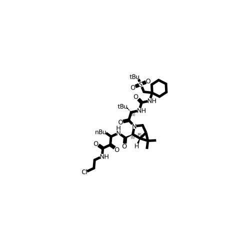 CCCCC(NC(=O)[C@@H]1[C@@H]2C(CN1C(=O)[C@@H](NC(=O)NC1(CS(=O)(=O)C(C)(C)C)CCCCC1)C(C)(C)C)C2(C)C)C(=O)C(=O)NCCCl